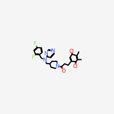 CC1=C(C)C(=O)C(CCC(=O)N2CCC(CN(Cc3ccc(F)cc3F)c3ccncn3)CC2)=CC1=O